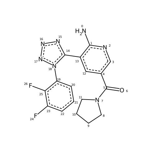 Nc1ncc(C(=O)N2CCCC2)cc1-c1nnnn1-c1cccc(F)c1F